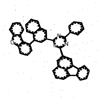 c1ccc(-c2nc(-c3cc(-c4cccc5oc6ccccc6c45)c4ccccc4c3)nc(-c3cc4c5c(cccc5c3)-c3ccccc3-4)n2)cc1